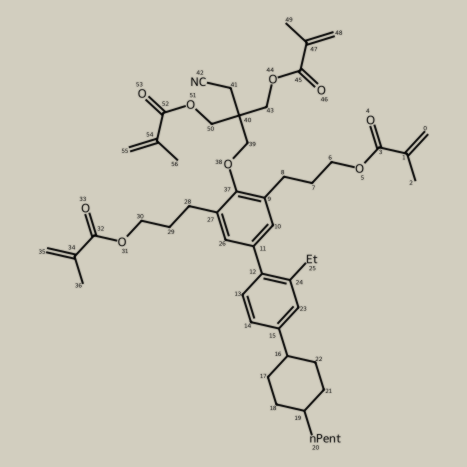 C=C(C)C(=O)OCCCc1cc(-c2ccc(C3CCC(CCCCC)CC3)cc2CC)cc(CCCOC(=O)C(=C)C)c1OCC(CC#N)(COC(=O)C(=C)C)COC(=O)C(=C)C